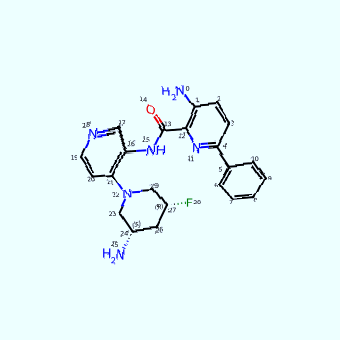 Nc1ccc(-c2ccccc2)nc1C(=O)Nc1cnccc1N1C[C@@H](N)C[C@@H](F)C1